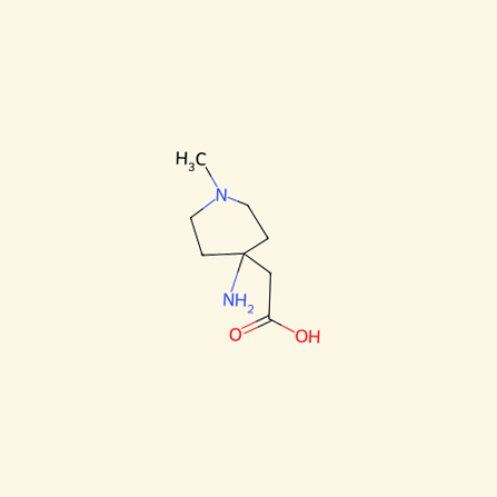 CN1CCC(N)(CC(=O)O)CC1